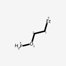 CCCCOP